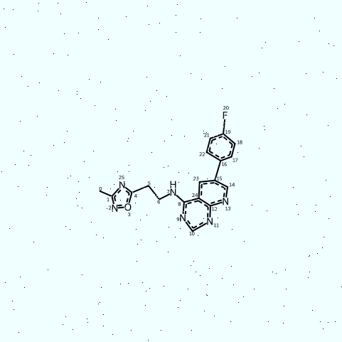 Cc1noc(CCNc2ncnc3ncc(-c4ccc(F)cc4)cc23)n1